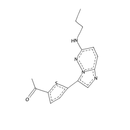 CCCNc1ccc2ncc(-c3ccc(C(C)=O)s3)n2n1